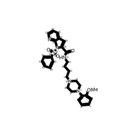 COc1ccccc1N1CCN(CCCCNC(=O)c2cc3cccnc3n2S(=O)(=O)c2ccccc2)CC1